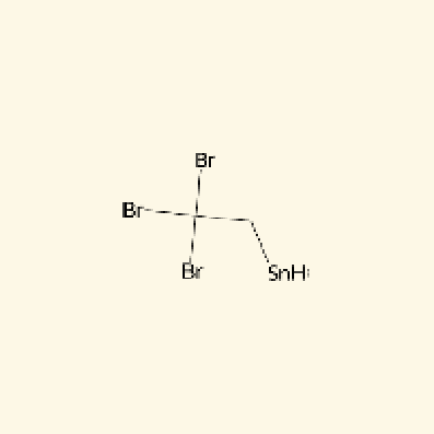 BrC(Br)(Br)[CH2][SnH]